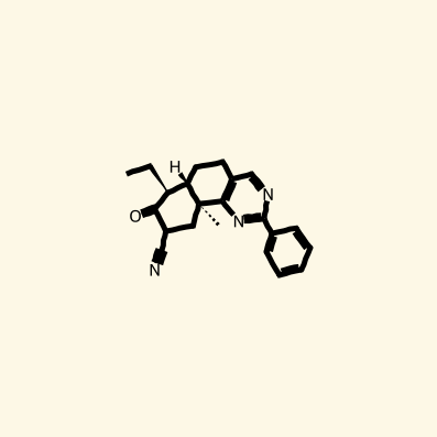 CC[C@@H]1C(=O)C(C#N)C[C@]2(C)c3nc(-c4ccccc4)ncc3CC[C@@H]12